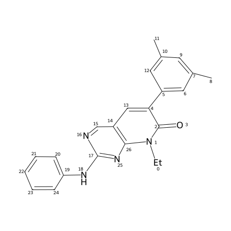 CCn1c(=O)c(-c2cc(C)cc(C)c2)cc2cnc(Nc3ccccc3)nc21